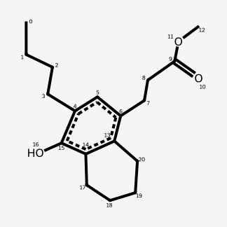 CCCCc1cc(CCC(=O)OC)c2c(c1O)CCCC2